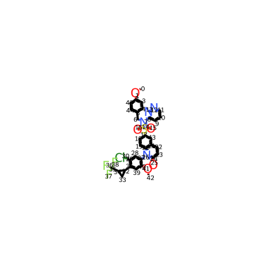 COc1ccc(CN(c2cccnn2)S(=O)(=O)c2ccc3c(ccc(=O)n3-c3cc(Cl)c(C4CC4C(F)(F)F)cc3OC)c2)cc1